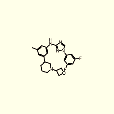 Cc1cc(Nc2ncn(-c3cc(F)cc(F)c3)n2)cc(C2CCCN(C3COC3)C2)c1